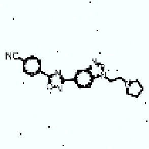 N#Cc1ccc(-c2nc(-c3ccc4c(c3)ncn4CCN3CCCC3)no2)cc1